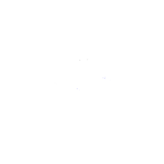 CC(=O)N[C@@H](CC1CC=CS1)C(=O)O.NCCCN1CCOCC1